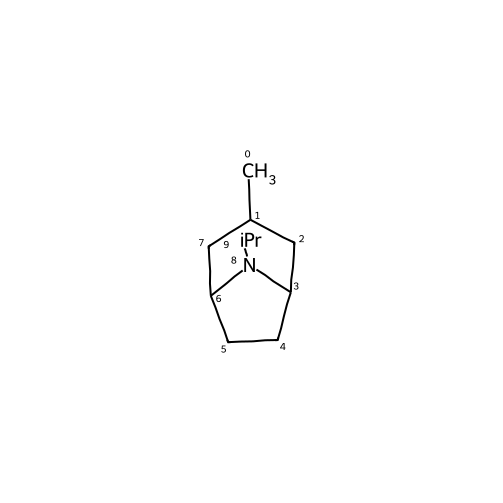 CC1CC2CCC(C1)N2C(C)C